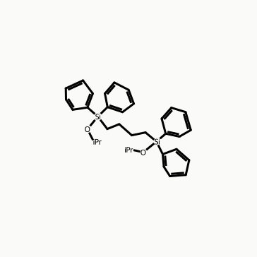 CC(C)O[Si](CCCC[Si](OC(C)C)(c1ccccc1)c1ccccc1)(c1ccccc1)c1ccccc1